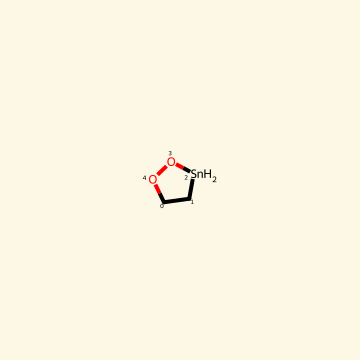 C1[CH2][SnH2][O]O1